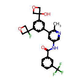 Cc1ncc(NC(=O)c2cccc(C(F)(F)F)c2)cc1-c1cc(C2(O)COC2)cc(C2(F)COC2)c1